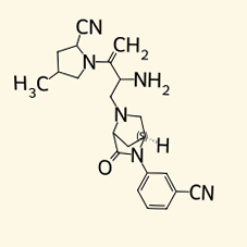 C=C(C(N)CN1C[C@@H]2CC1C(=O)N2c1cccc(C#N)c1)N1CC(C)CC1C#N